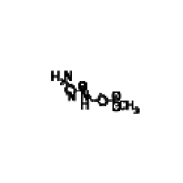 COC(=O)c1ccc(CCNC(=O)c2cc(CN)ccn2)cc1